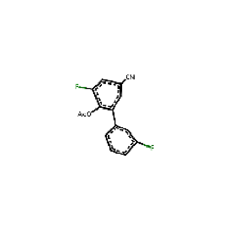 CC(=O)Oc1c(F)cc(C#N)cc1-c1cccc(F)c1